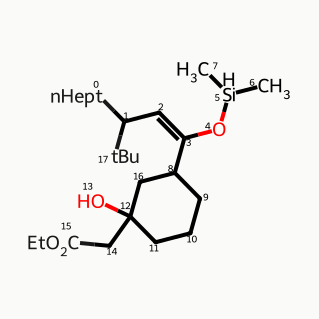 CCCCCCCC(/C=C(/O[SiH](C)C)C1CCCC(O)(CC(=O)OCC)C1)C(C)(C)C